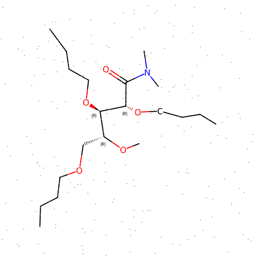 CCCCOC[C@@H](OC)[C@@H](OCCCC)[C@@H](OCCCC)C(=O)N(C)C